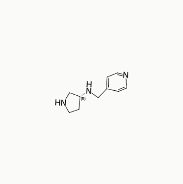 c1cc(CN[C@@H]2CCNC2)ccn1